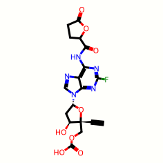 C#C[C@]1(COC(=O)O)O[C@@H](n2cnc3c(NC(=O)C4CCC(=O)O4)nc(F)nc32)C[C@@H]1O